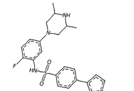 CC1CN(c2ccc(F)c(NS(=O)(=O)c3ccc(-c4ccoc4)cc3)c2)CC(C)N1